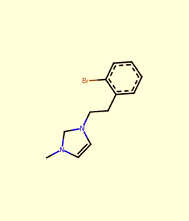 CN1C=CN(CCc2ccccc2Br)C1